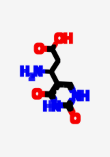 NC(CC(=O)O)c1c[nH]c(=O)[nH]c1=O